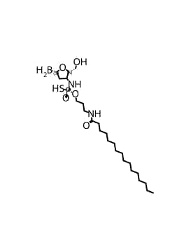 B[C@H]1CC(NP(=O)(S)OCCCNC(=O)CCCCCCCCCCCCCCC)[C@@H](CO)O1